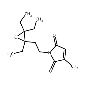 CCC1(CC)OC1(CC)CCN1C(=O)C=C(C)C1=O